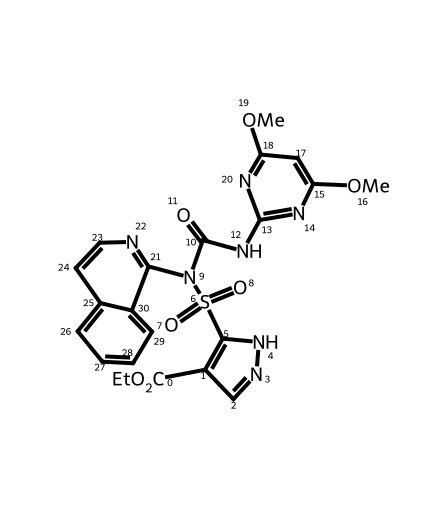 CCOC(=O)c1cn[nH]c1S(=O)(=O)N(C(=O)Nc1nc(OC)cc(OC)n1)c1nccc2ccccc12